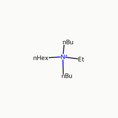 CCCCCC[N+](CC)(CCCC)CCCC